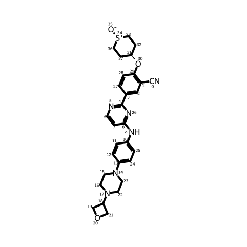 N#Cc1cc(-c2nccc(Nc3ccc(N4CCN(C5COC5)CC4)cc3)n2)ccc1O[C@H]1CC[S@@+]([O-])CC1